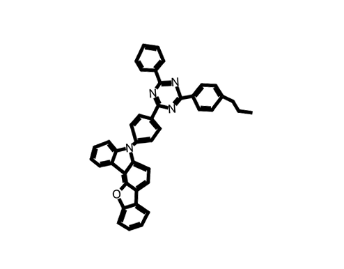 CCCc1ccc(-c2nc(-c3ccccc3)nc(-c3ccc(-n4c5ccccc5c5c6oc7ccccc7c6ccc54)cc3)n2)cc1